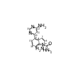 CNC(=O)[N+]1(N)C=Cc2c(-c3cc(N)ncn3)cccc21